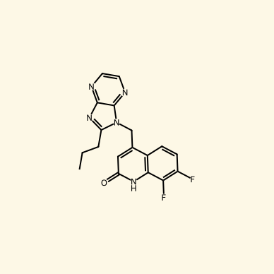 CCCc1nc2nccnc2n1Cc1cc(=O)[nH]c2c(F)c(F)ccc12